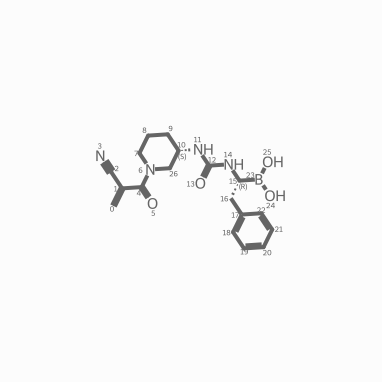 C=C(C#N)C(=O)N1CCC[C@H](NC(=O)N[C@@H](Cc2ccccc2)B(O)O)C1